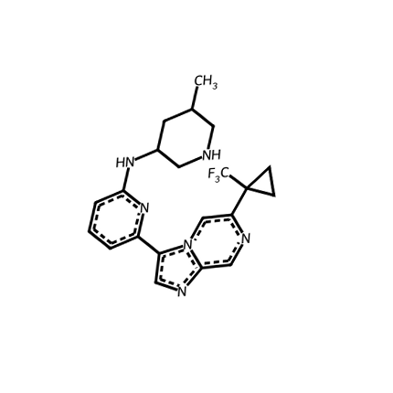 CC1CNCC(Nc2cccc(-c3cnc4cnc(C5(C(F)(F)F)CC5)cn34)n2)C1